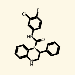 O=C(Nc1ccc(F)c(Cl)c1)N1c2ccccc2NCC1c1ccccc1